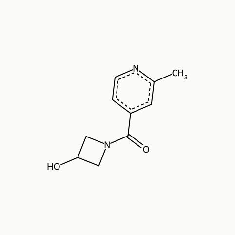 Cc1cc(C(=O)N2CC(O)C2)ccn1